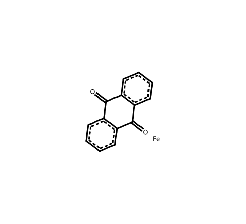 O=C1c2ccccc2C(=O)c2ccccc21.[Fe]